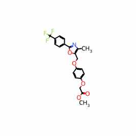 COC(=O)COc1ccc(OCc2oc(-c3ccc(C(F)(F)F)cc3)nc2C)cc1